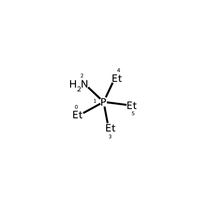 CCP(N)(CC)(CC)CC